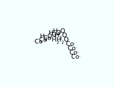 O.O.O.O.O.O.[Co].[Co].[Co].[Co].[Co].[Co].[Co]